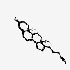 CC12CCC(=O)C=C1CCC1C2CCC2(C)C(CCCC#N)CCC12